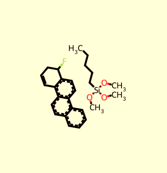 CCCCC[Si](OC)(OC)OC.FC1CC=Cc2c1ccc1c2ccc2ccccc21